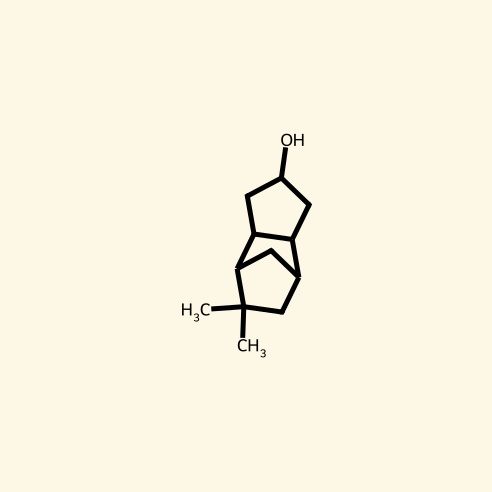 CC1(C)CC2CC1C1CC(O)CC21